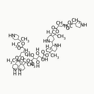 CC(CC(=O)OC(C)(C)C1CCNCC1)CC(=O)OC(C)(CC1CNCCC1C(C)(C)OC(=O)C(O)C(O)C(O)C(O)C(=O)OC(C)(C)C1CCNC(C2CC(C(C)(C)OC(=O)C(C)CCC(=O)OC(C)(C)C3CCNCC3)CCN2)C1)C1CCNCC1